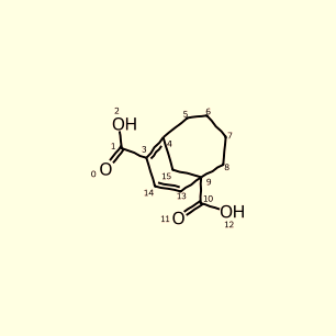 O=C(O)C1=C2CCCCC(C(=O)O)(C=C1)C2